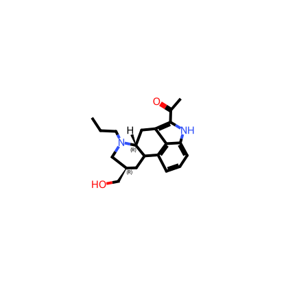 CCCN1C[C@H](CO)CC2c3cccc4[nH]c(C(C)=O)c(c34)C[C@H]21